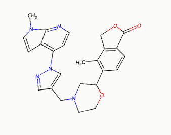 Cc1c(C2CN(Cc3cnn(-c4ccnc5c4ccn5C)c3)CCO2)ccc2c1COC2=O